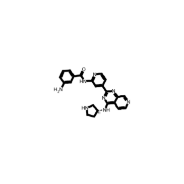 Nc1cccc(C(=O)Nc2cc(-c3nc(N[C@@H]4CCNC4)c4ccncc4n3)ccn2)c1